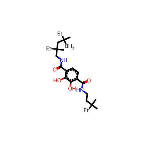 BC(C)(CC)CC(C)(CC)CNC(=O)c1ccc(C(=O)NCCC(C)(C)CC)c(O)c1O